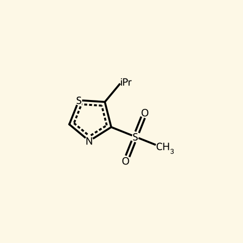 CC(C)c1scnc1S(C)(=O)=O